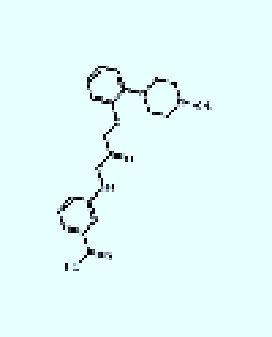 CN1CCN(c2ccccc2OCC(=O)CNc2cccc(C(=O)O)c2)CC1